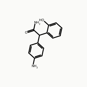 NC(=O)C(c1ccc(N)cc1)c1ccccc1O